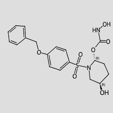 O=C(NO)O[C@@H]1CC[C@@H](O)CN1S(=O)(=O)c1ccc(OCc2ccccc2)cc1